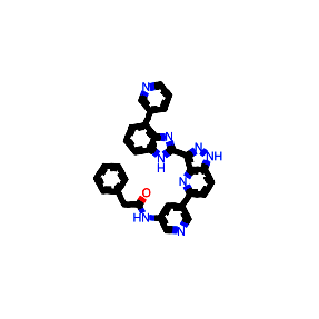 O=C(Cc1ccccc1)Nc1cncc(-c2ccc3[nH]nc(-c4nc5c(-c6cccnc6)cccc5[nH]4)c3n2)c1